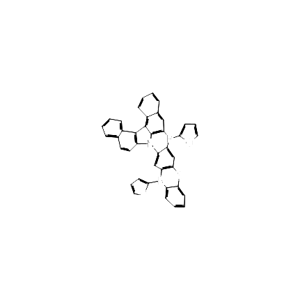 c1coc(B2c3ccccc3Sc3cc4c(cc32)-n2c3ccc5ccccc5c3c3c5ccccc5cc(c32)B4c2ccco2)c1